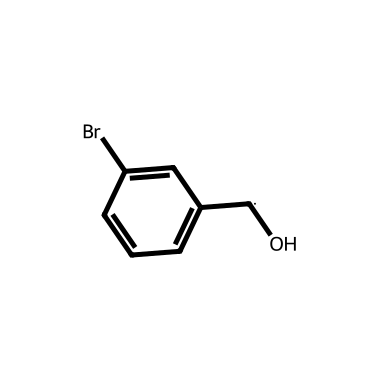 O[CH]c1cccc(Br)c1